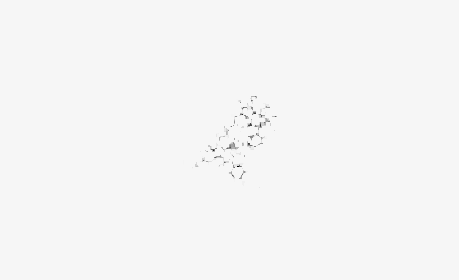 Cc1ccc(N(C)C(=O)N2C(CC(C)C)C(=O)N(CCSCCC3C(=O)N(C)C(C(C)(C)C)N3C(=O)N(C)c3ccccn3)C2C(C)(C)C)cc1